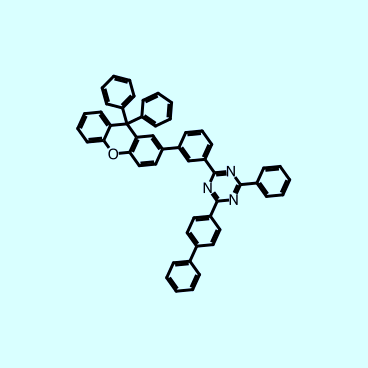 c1ccc(-c2ccc(-c3nc(-c4ccccc4)nc(-c4cccc(-c5ccc6c(c5)C(c5ccccc5)(c5ccccc5)c5ccccc5O6)c4)n3)cc2)cc1